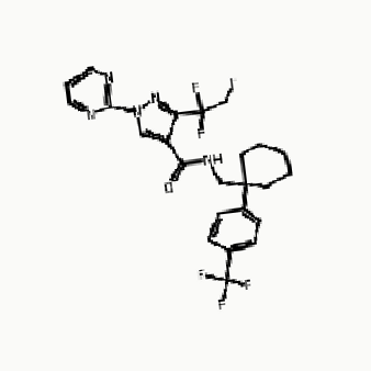 O=C(NCC1(c2ccc(C(F)(F)F)cc2)CCCCC1)c1cn(-c2ncccn2)nc1C(F)(F)CF